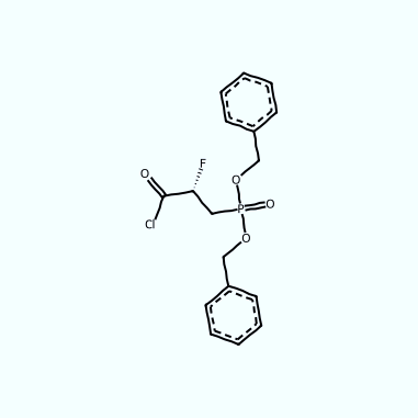 O=C(Cl)[C@H](F)CP(=O)(OCc1ccccc1)OCc1ccccc1